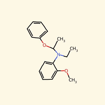 CCN(c1ccccc1OC)C(C)Oc1ccccc1